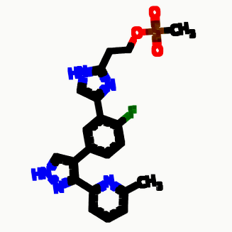 Cc1cccc(-c2n[nH]cc2-c2ccc(F)c(-c3c[nH]c(CCOS(C)(=O)=O)n3)c2)n1